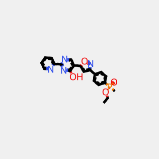 CCOP(C)(=O)c1ccc(-c2cc(-c3cnc(-c4ccccn4)nc3O)on2)cc1